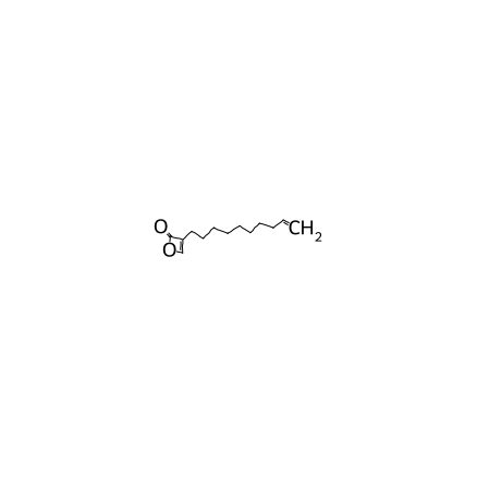 C=CCCCCCCCCC1=COC1=O